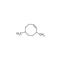 [CH2]C1CC/C=C\C(C)CC1